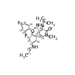 CCSNc1ccc(Oc2ccc(F)cc2F)c(-c2cn(C)c(=O)c3c2cnn3C(C)C)c1